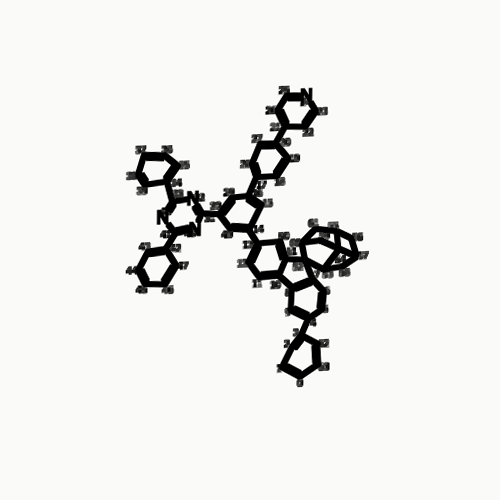 c1ccc(-c2ccc3c(c2)-c2ccc(-c4cc(-c5ccc(-c6ccncc6)cc5)cc(-c5nc(-c6ccccc6)nc(-c6ccccc6)n5)c4)cc2C32C3CC4CC(C3)CC2C4)cc1